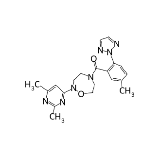 Cc1ccc(-n2nccn2)c(C(=O)N2CCON(c3cc(C)nc(C)n3)CC2)c1